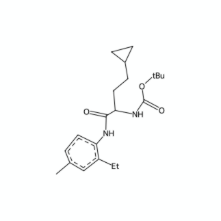 CCc1cc(C)ccc1NC(=O)C(CCC1CC1)NC(=O)OC(C)(C)C